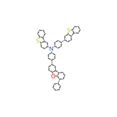 c1ccc(-c2cccc3c2oc2ccc(-c4ccc(N(c5ccc(-c6ccc7c(c6)sc6ccccc67)cc5)c5ccc6sc7ccccc7c6c5)cc4)cc23)cc1